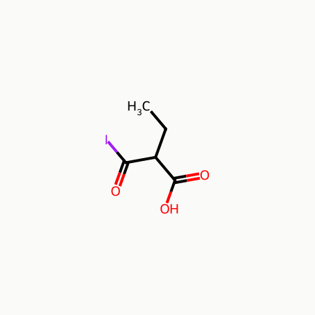 CCC(C(=O)O)C(=O)I